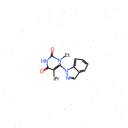 CCn1c(-n2ncc3ccccc32)c(C(C)C)c(=O)[nH]c1=O